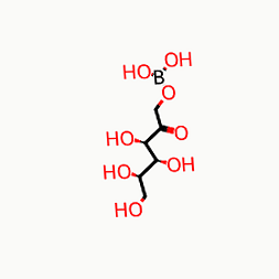 O=C(COB(O)O)[C@H](O)[C@@H](O)[C@H](O)CO